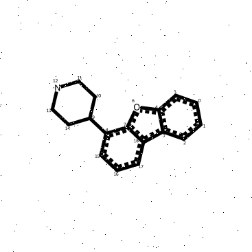 c1ccc2c(c1)oc1c(C3CC[N]CC3)cccc12